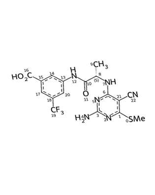 CSc1nc(N)nc(N[C@@H](C)C(=O)Nc2cc(C(=O)O)cc(C(F)(F)F)c2)c1C#N